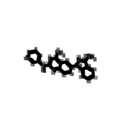 Cc1nc(Nc2cccnc2)nc2ccc(-n3nc(C)c4ccccc43)cc12